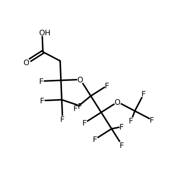 O=C(O)CC(F)(OC(F)(F)C(F)(OC(F)(F)F)C(F)(F)F)C(F)(F)F